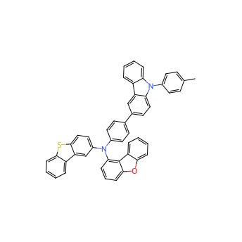 Cc1ccc(-n2c3ccccc3c3cc(-c4ccc(N(c5ccc6sc7ccccc7c6c5)c5cccc6oc7ccccc7c56)cc4)ccc32)cc1